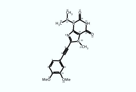 COc1ccc(C#Cc2nc3c(c(=O)[nH]c(=O)n3N(C)C)n2C)cc1OC